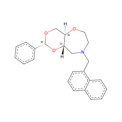 c1ccc([C@@H]2OC[C@H]3OCCN(Cc4cccc5ccccc45)C[C@@H]3O2)cc1